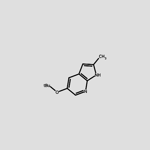 Cc1cc2cc(OC(C)(C)C)cnc2[nH]1